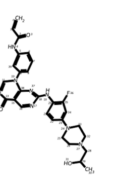 C=CC(=O)Nc1cccc(-n2cnc(=O)c3cnc(Nc4ccc(N5CCN(CC(C)O)CC5)cc4F)nc32)c1